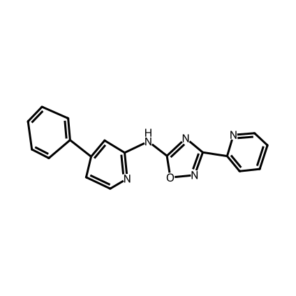 c1ccc(-c2ccnc(Nc3nc(-c4ccccn4)no3)c2)cc1